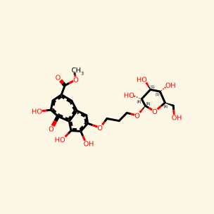 COC(=O)c1cc(O)c(=O)c2c(O)c(O)c(OCCCO[C@@H]3O[C@H](CO)[C@@H](O)[C@H](O)[C@H]3O)cc2c1